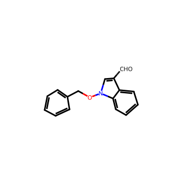 O=Cc1cn(OCc2ccccc2)c2ccccc12